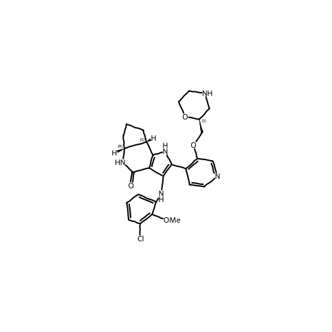 COc1c(Cl)cccc1Nc1c(-c2ccncc2OC[C@@H]2CNCCO2)[nH]c2c1C(=O)N[C@@H]1CCC[C@H]21